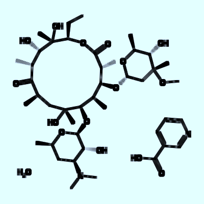 CC[C@H]1OC(=O)[C@H](C)[C@@H](O[C@H]2C[C@@](C)(OC)[C@@H](O)[C@H](C)O2)[C@@H](C)[C@@H](O[C@@H]2O[C@H](C)C[C@H](N(C)C)[C@H]2O)[C@](C)(O)C[C@@H](C)C(=O)[C@H](C)[C@H](O)[C@]1(C)O.O.O=C(O)c1cccnc1